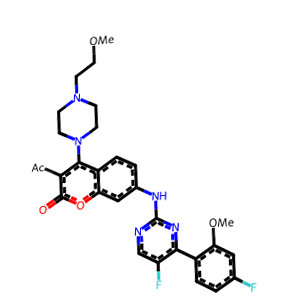 COCCN1CCN(c2c(C(C)=O)c(=O)oc3cc(Nc4ncc(F)c(-c5ccc(F)cc5OC)n4)ccc23)CC1